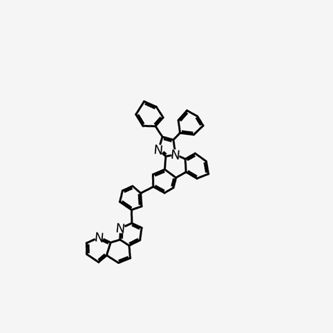 c1ccc(-c2nc3c4cc(-c5cccc(-c6ccc7ccc8cccnc8c7n6)c5)ccc4c4ccccc4n3c2-c2ccccc2)cc1